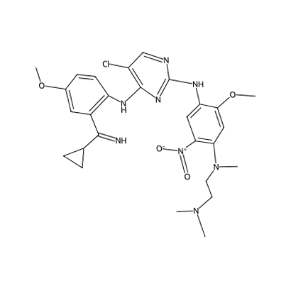 COc1ccc(Nc2nc(Nc3cc([N+](=O)[O-])c(N(C)CCN(C)C)cc3OC)ncc2Cl)c(C(=N)C2CC2)c1